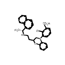 CCc1c(C(=O)O)cccc1N1CC(CCN[C@H](C)c2cccc3ccccc23)Oc2ccccc21